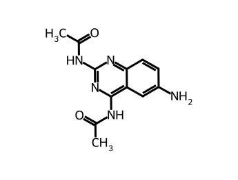 CC(=O)Nc1nc(NC(C)=O)c2cc(N)ccc2n1